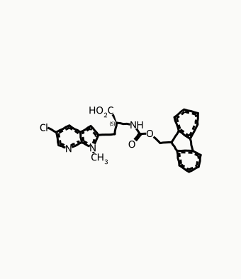 Cn1c(C[C@H](NC(=O)OCC2c3ccccc3-c3ccccc32)C(=O)O)cc2cc(Cl)cnc21